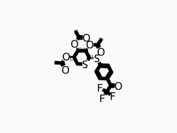 CC(=O)O[C@@H]1[C@@H](OC(C)=O)[C@H](Sc2ccc(C(=O)C(F)(F)F)cc2)SC[C@H]1OC(C)=O